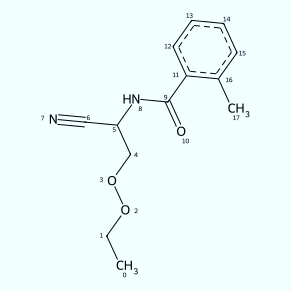 CCOOCC(C#N)NC(=O)c1ccccc1C